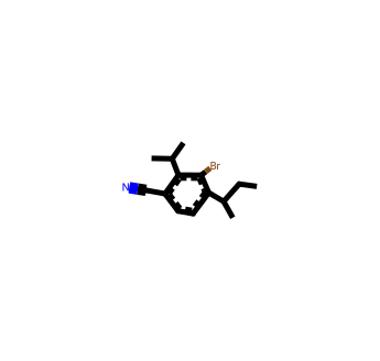 CCC(C)c1ccc(C#N)c(C(C)C)c1Br